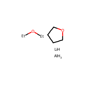 C1CCOC1.CCOCC.[AlH3].[LiH]